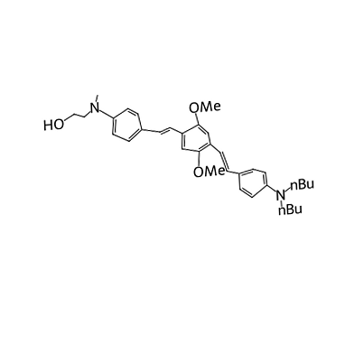 CCCCN(CCCC)c1ccc(C=Cc2cc(OC)c(C=Cc3ccc(N(C)CCO)cc3)cc2OC)cc1